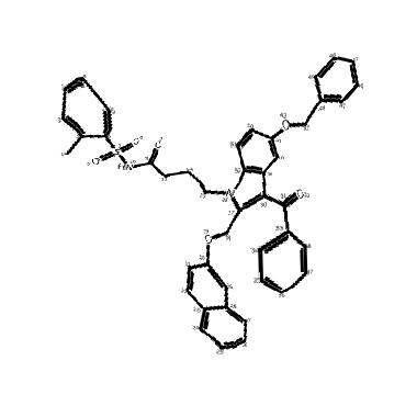 Cc1ccccc1S(=O)(=O)NC(=O)CCCn1c(COc2ccc3ccccc3c2)c(C(=O)c2ccccc2)c2cc(OCc3ccccc3)ccc21